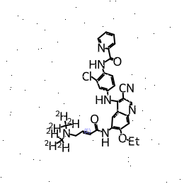 [2H]C([2H])([2H])N(C/C=C/C(=O)Nc1cc2c(Nc3ccc(NC(=O)c4ccccn4)c(Cl)c3)c(C#N)cnc2cc1OCC)C([2H])([2H])[2H]